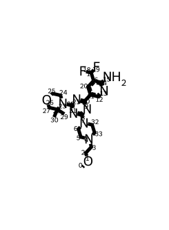 COCCN1CCN(c2nc(-c3cnc(N)c(C(F)F)c3)nc(N3CCOCC3(C)C)n2)CC1